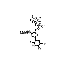 O=c1[nH]c(=O)n(C2CC(O)C(COP(=O)([O-])OP(=O)([O-])OP(=O)([O-])[O-])O2)cc1Br.[Na+].[Na+].[Na+].[Na+]